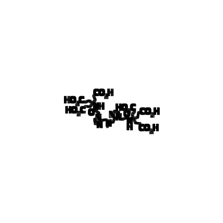 CN(Cc1nccn1CC(=O)NC(CCC(=O)O)(CCC(=O)O)CCC(=O)O)Cc1nccn1CC(=O)NC(CCC(=O)O)(CCC(=O)O)CCC(=O)O